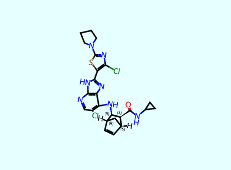 O=C(NC1CC1)[C@@H]1[C@H](Nc2c(Cl)cnc3[nH]c(-c4sc(N5CCCC5)nc4Cl)nc23)[C@H]2C=C[C@@H]1C2